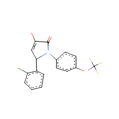 O=C1C(O)=CC(c2ccccc2Cl)N1c1ccc(OC(F)(F)F)cc1